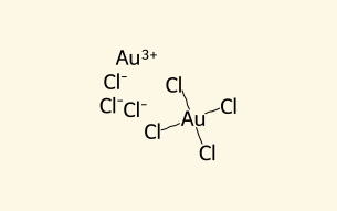 [Au+3].[Cl-].[Cl-].[Cl-].[Cl][Au]([Cl])([Cl])[Cl]